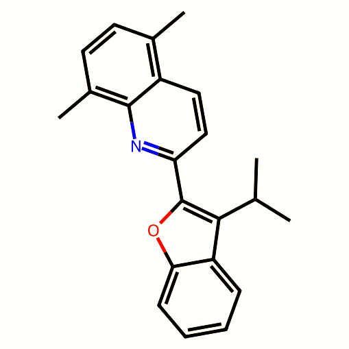 Cc1ccc(C)c2nc(-c3oc4ccccc4c3C(C)C)ccc12